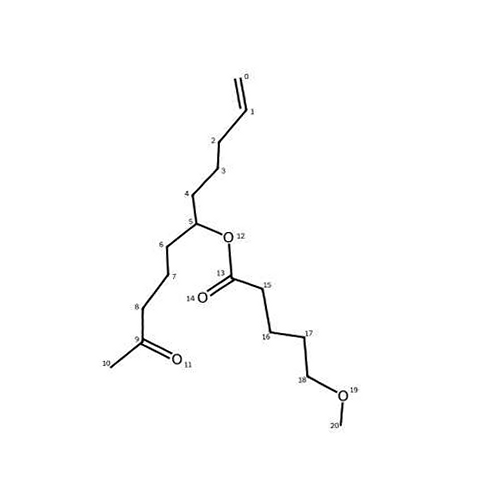 C=CCCCC(CCCC(C)=O)OC(=O)CCCCOC